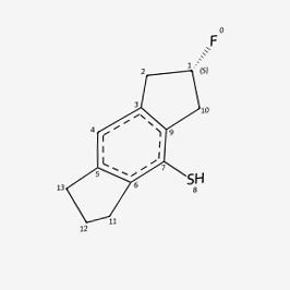 F[C@H]1Cc2cc3c(c(S)c2C1)CCC3